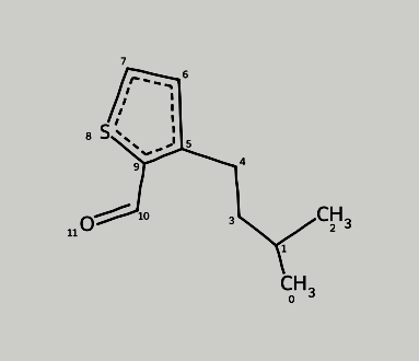 CC(C)CCc1ccsc1C=O